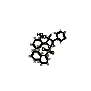 CC(O)(C(=O)c1ccccc1)C(OS(=O)(=O)c1cccc2ccccc12)c1ccccc1O